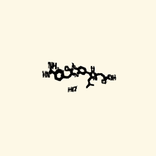 CC(C)Cc1nc(CC(=O)O)[nH]c1-c1ccc2c(c1)nc(Cc1ccc(C(=N)N)cc1)c(=O)n2C.Cl